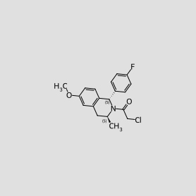 COc1ccc2c(c1)C[C@H](C)N(C(=O)CCl)[C@H]2c1ccc(F)cc1